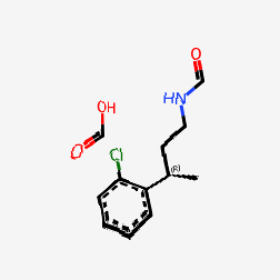 C[C@H](CCNC=O)c1ccccc1Cl.O=CO